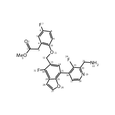 COC(=O)Cc1cc(F)ccc1OCc1cc(-c2ccnc(CN)c2F)c2occc2c1F